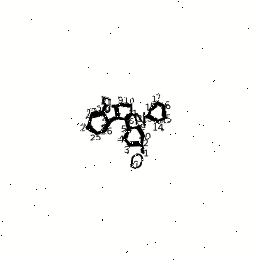 O=Cc1ccc2c3c4c(ccc3n(-c3ccccc3)c2c1)sc1ccccc14